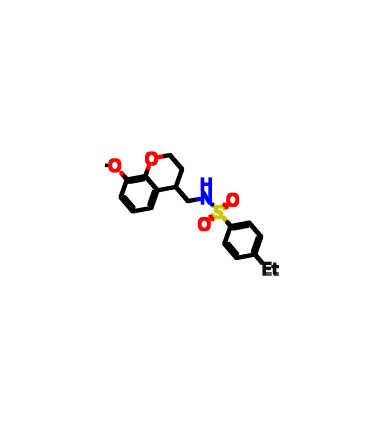 CCc1ccc(S(=O)(=O)NCC2CCOc3c([O])cccc32)cc1